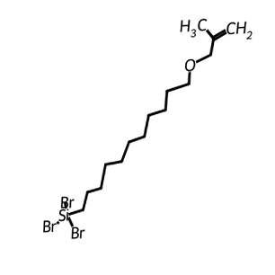 C=C(C)COCCCCCCCCCCC[Si](Br)(Br)Br